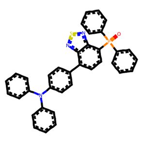 O=P(c1ccccc1)(c1ccccc1)c1ccc(-c2ccc(N(c3ccccc3)c3ccccc3)cc2)c2nsnc12